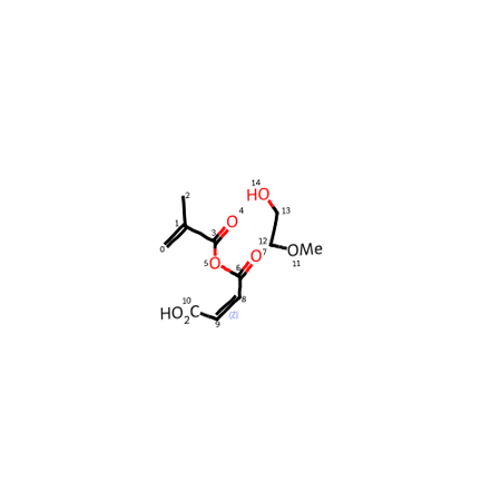 C=C(C)C(=O)OC(=O)/C=C\C(=O)O.COCCO